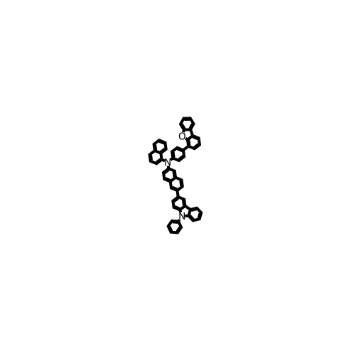 c1ccc(-n2c3ccccc3c3cc(-c4ccc5cc(N(c6ccc(-c7cccc8c7oc7ccccc78)cc6)c6cccc7ccccc67)ccc5c4)ccc32)cc1